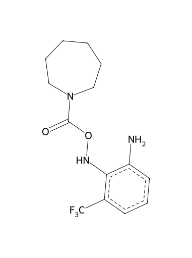 Nc1cccc(C(F)(F)F)c1NOC(=O)N1CCCCCC1